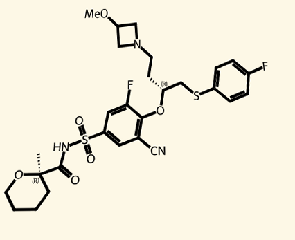 COC1CN(CC[C@H](CSc2ccc(F)cc2)Oc2c(F)cc(S(=O)(=O)NC(=O)[C@@]3(C)CCCCO3)cc2C#N)C1